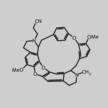 COc1ccc2cc1Oc1ccc(cc1)CC1c3c(cc(OC)c4c3Oc3cc5c(cc3O4)CCN(C)C5C2)CCN1CCC#N